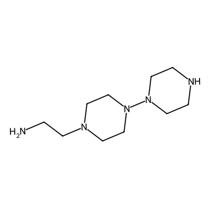 NCCN1CCN(N2CCNCC2)CC1